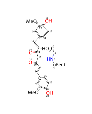 CCCCCNCC(=O)O.COc1cc(/C=C/C(=O)CC(=O)/C=C/c2ccc(O)c(OC)c2)ccc1O